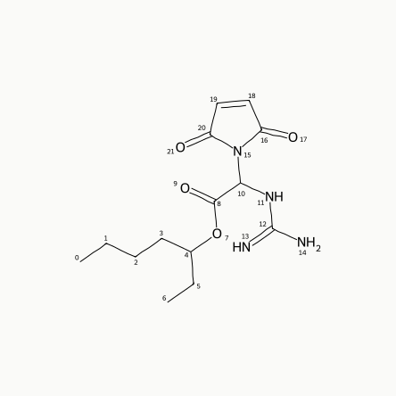 CCCCC(CC)OC(=O)C(NC(=N)N)N1C(=O)C=CC1=O